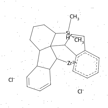 C[SiH](C)C1CCCC2C3C=CC=CC3[CH]([Zr+2])C21C1C=Cc2ccccc21.[Cl-].[Cl-]